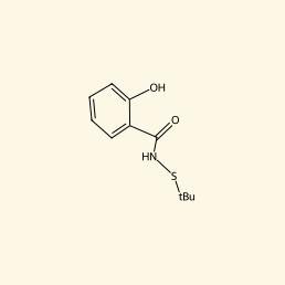 CC(C)(C)SNC(=O)c1ccccc1O